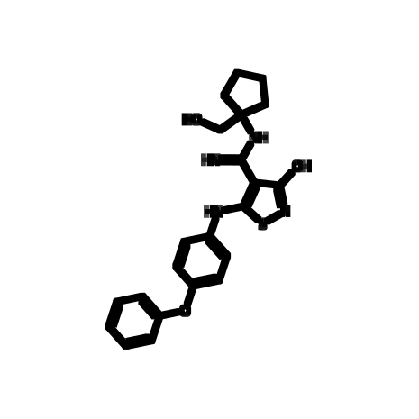 N=C(NC1(CO)CCCC1)c1c(O)nsc1Nc1ccc(Oc2ccccc2)cc1